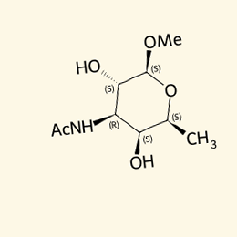 CO[C@H]1O[C@@H](C)[C@@H](O)[C@@H](NC(C)=O)[C@@H]1O